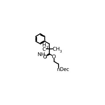 CCCCCCCCCCCCOC(=O)C(C)(C)Cc1ccccc1.N